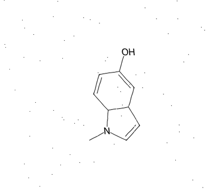 CN1C=CC2C=C(O)C=CC21